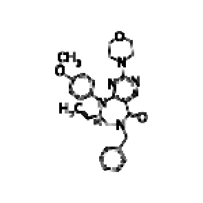 C=C[C@@H]1CN(Cc2ccccc2)C(=O)c2cnc(N3CCOCC3)nc2N1c1ccc(OC)cc1